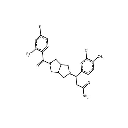 Cc1ccc(C(CC(N)=O)N2CC3CN(C(=O)c4ccc(F)cc4C(F)(F)F)CC3C2)cc1Cl